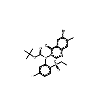 CCS(=O)(=O)c1ccc(Cl)cc1N(C(=O)OC(C)(C)C)n1cnc2cc(C)c(Br)cc2c1=O